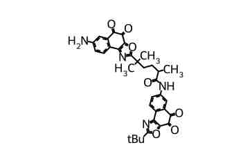 CC(CCC(C)(C)c1nc2c(o1)C(=O)C(=O)c1cc(N)ccc1-2)C(=O)Nc1ccc2c(c1)C(=O)C(=O)c1oc(C(C)(C)C)nc1-2